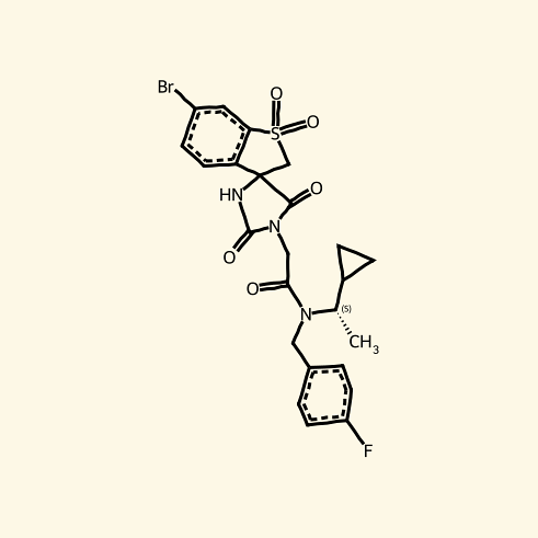 C[C@@H](C1CC1)N(Cc1ccc(F)cc1)C(=O)CN1C(=O)NC2(CS(=O)(=O)c3cc(Br)ccc32)C1=O